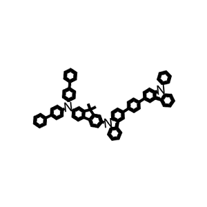 CC1(C)c2cc(N(c3ccc(-c4ccccc4)cc3)c3ccc(-c4ccccc4)cc3)ccc2-c2ccc(-n3c4ccccc4c4cc(-c5ccc(-c6ccc7c(c6)c6ccccc6n7-c6ccccc6)cc5)ccc43)cc21